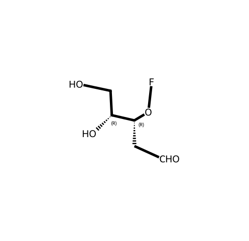 O=CC[C@@H](OF)[C@H](O)CO